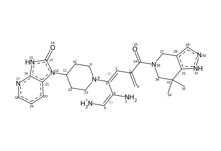 C=C(/C=C(\C(N)=C/N)N1CCC(n2c(=O)[nH]c3ncccc32)CC1)C(=O)N1Cc2cn[nH]c2C(C)(C)C1